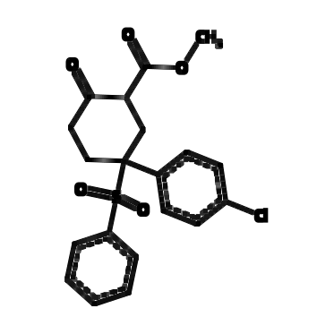 COC(=O)C1CC(c2ccc(Cl)cc2)(S(=O)(=O)c2ccccc2)CCC1=O